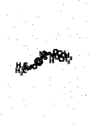 CN(C)CCOc1ccc(-c2ncc(CNC(=O)OC(C)(C)C)s2)cc1